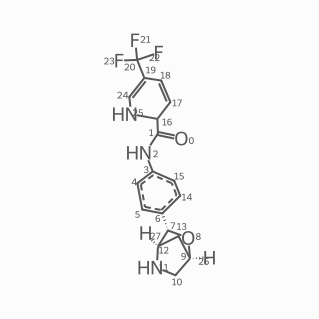 O=C(Nc1ccc([C@@H]2O[C@H]3CN[C@@H]2C3)cc1)C1C=CC(C(F)(F)F)=CN1